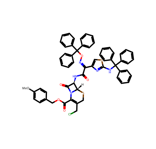 COc1ccc(COC(=O)C2=C(CCl)CS[C@H]3[C@H](NC(=O)C(=NOC(c4ccccc4)(c4ccccc4)c4ccccc4)c4csc(NC(c5ccccc5)(c5ccccc5)c5ccccc5)n4)C(=O)N23)cc1